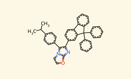 CC(C)c1ccc(-c2c(-c3ccc4c(c3)C(c3ccccc3)(c3ccccc3)c3ccccc3-4)nc3occn23)cc1